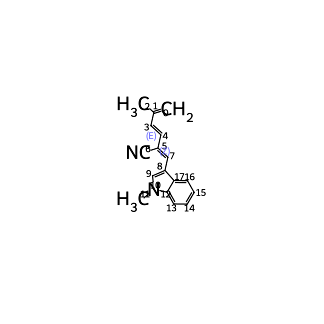 C=C(C)/C=C/C(C#N)=C/c1cn(C)c2ccccc12